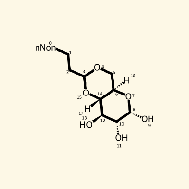 CCCCCCCCCCCC1OC[C@H]2O[C@H](O)[C@H](O)[C@@H](O)[C@@H]2O1